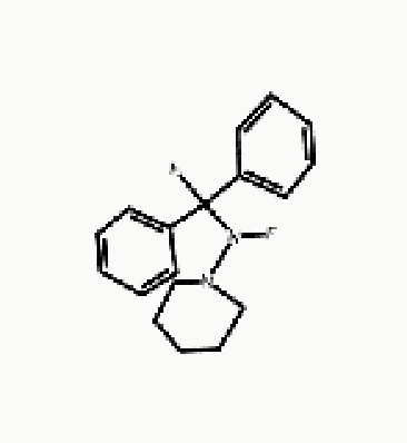 FN(N1CCCCC1)C(F)(c1ccccc1)c1ccccc1